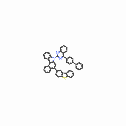 c1ccc(-c2ccc(-c3nc(-n4c5ccccc5c5c6ccccc6c(-c6ccc7sc8ccccc8c7c6)cc54)nc4ccccc34)cc2)cc1